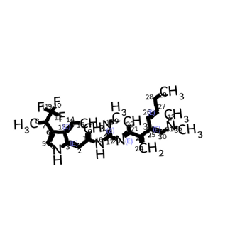 C=C(/C=c1/[nH]cc(C(C)C(F)(F)F)/c1=C/C)NC(=N/C)/N=C(\C)C(=C)C(/C=C/CC)=C/N(C)C